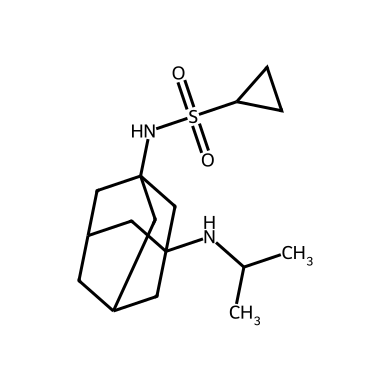 CC(C)NC12CC3CC(C1)CC(NS(=O)(=O)C1CC1)(C3)C2